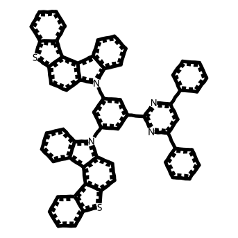 c1ccc(-c2cc(-c3ccccc3)nc(-c3cc(-n4c5ccccc5c5c6c(ccc54)sc4ccccc46)cc(-n4c5ccccc5c5c6c(ccc54)sc4ccccc46)c3)n2)cc1